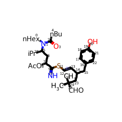 CCCCCCN(C(=O)CCCC)C(CC(OC(C)=O)C(=N)S/C=C/C(Cc1ccc(O)cc1)CC(C)(C)C=O)C(C)C